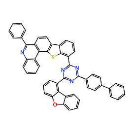 c1ccc(-c2ccc(-c3nc(-c4cccc5c4sc4c5ccc5c(-c6ccccc6)nc6ccccc6c54)nc(-c4cccc5oc6ccccc6c45)n3)cc2)cc1